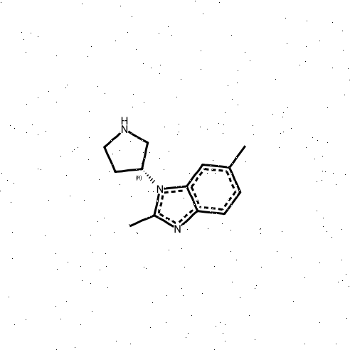 Cc1ccc2nc(C)n([C@@H]3CCNC3)c2c1